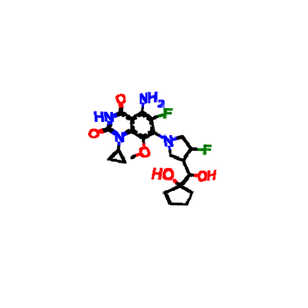 COc1c(N2CC(F)C(C(O)C3(O)CCCC3)C2)c(F)c(N)c2c(=O)[nH]c(=O)n(C3CC3)c12